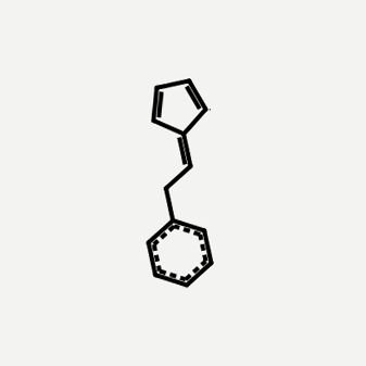 [C]1=CC=CC1=CCc1ccccc1